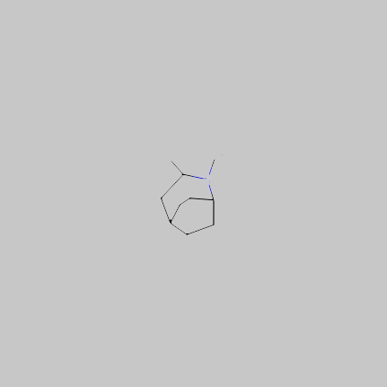 CCC1CC2CCC(CC2)N1C(C)C